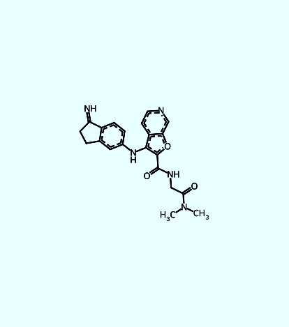 CN(C)C(=O)CNC(=O)c1oc2cnccc2c1Nc1ccc2c(c1)CCC2=N